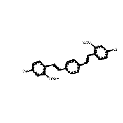 COc1cc(Cl)ccc1C=Cc1ccc(C=Cc2ccc(Cl)cc2OC)cc1